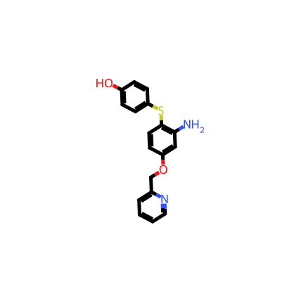 Nc1cc(OCc2ccccn2)ccc1Sc1ccc(O)cc1